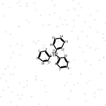 c1cc[c]([Tl]([c]2ccccc2)[c]2ccccc2)cc1